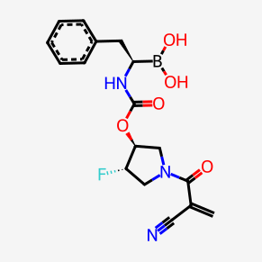 C=C(C#N)C(=O)N1C[C@H](OC(=O)N[C@@H](Cc2ccccc2)B(O)O)[C@@H](F)C1